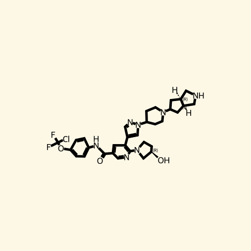 O=C(Nc1ccc(OC(F)(F)Cl)cc1)c1cnc(N2CC[C@@H](O)C2)c(-c2cnn(C3CCN(C4C[C@H]5CNC[C@H]5C4)CC3)c2)c1